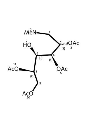 CNC[C@H](OC(C)=O)[C@@H](OC(C)=O)[C@H](O)[C@@H](COC(C)=O)OC(C)=O